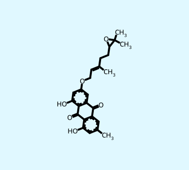 C/C(=C\COc1cc(O)c2c(c1)C(=O)c1cc(C)cc(O)c1C2=O)CCC1OC1(C)C